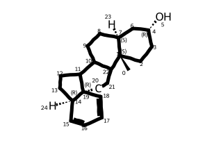 C[C@]12CC[C@@H](O)C[C@@H]1CCC1C3CC[C@@H]4C=CC=C[C@]34CCC12